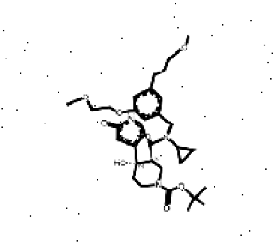 COCCCc1cc(CN(C(=O)[C@H]2CN(C(=O)OC(C)(C)C)CC[C@@]2(O)c2cc[nH]c(=O)c2)C2CC2)cc(OCCOC)c1